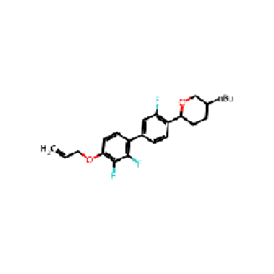 C=CCOc1ccc(-c2ccc(C3CCC(CCCC)CO3)c(F)c2)c(F)c1F